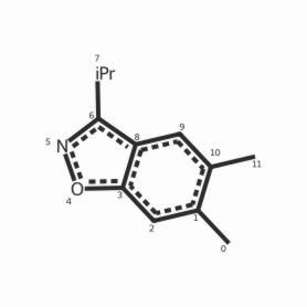 Cc1cc2onc(C(C)C)c2cc1C